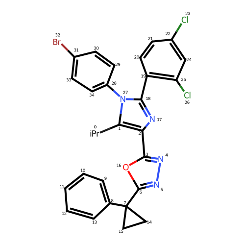 CC(C)c1c(-c2nnc(C3(c4ccccc4)CC3)o2)nc(-c2ccc(Cl)cc2Cl)n1-c1ccc(Br)cc1